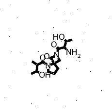 CC(O)C(C)C(=O)N1CCCC12CN(C(=O)C(N)C(C)O)C2=O